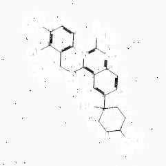 Cc1nc(N[C@H](C)c2cccc(C(F)(F)F)c2F)c2cc(C3(O)CCC(O)CC3)ccc2n1